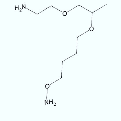 CC(COCCN)OCCCCON